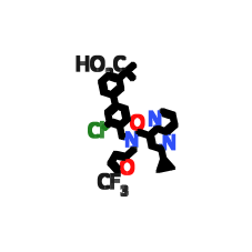 CC(C)(C(=O)O)c1cccc(-c2ccc(CN(Cc3ccc(C(F)(F)F)o3)C(=O)c3cc(C4CC4)nc4cccnc34)c(Cl)c2)c1